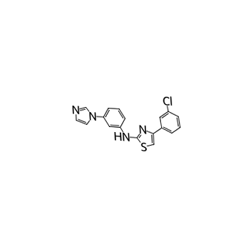 Clc1cccc(-c2csc(Nc3cccc(-n4ccnc4)c3)n2)c1